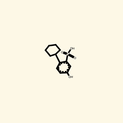 O=S(=O)(O)c1cc(O)ccc1C1CCCCC1